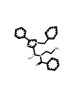 CC(C)[C@H](c1nc(-c2ccccc2)cn1Cc1ccccc1)N(CCN)C(=O)c1ccccc1